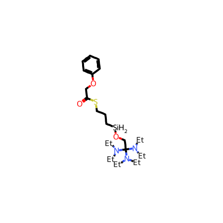 CCN(CC)C(CO[SiH2]CCCSC(=O)COc1ccccc1)(N(CC)CC)N(CC)CC